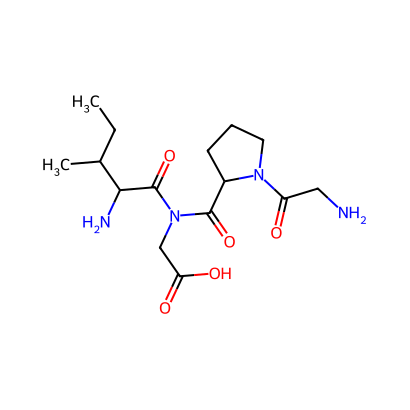 CCC(C)C(N)C(=O)N(CC(=O)O)C(=O)C1CCCN1C(=O)CN